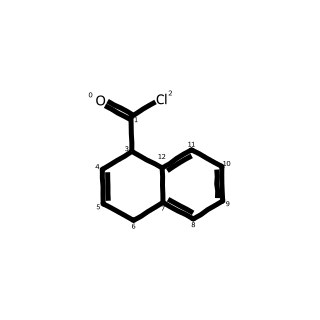 O=C(Cl)C1C=CCc2ccccc21